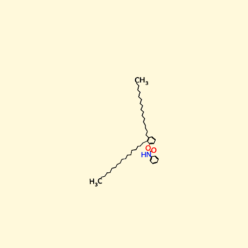 CCCCCCCCCCCCCCCCCCc1cccc(OC(=O)Nc2ccccc2)c1CCCCCCCCCCCCCCCCCC